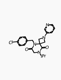 CC(C)N1CC(=O)N(Cc2ccc(Cl)cc2)C2(CN(c3cccnc3)C2)C1=O